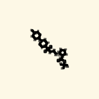 CN1CCC(N2CCN(S(=O)(=O)CCC[C@@H]3CCCN3C(=O)OC(C)(C)C)CC2)CC1